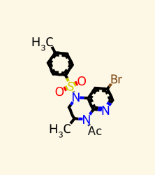 CC(=O)N1c2ncc(Br)cc2N(S(=O)(=O)c2ccc(C)cc2)CC1C